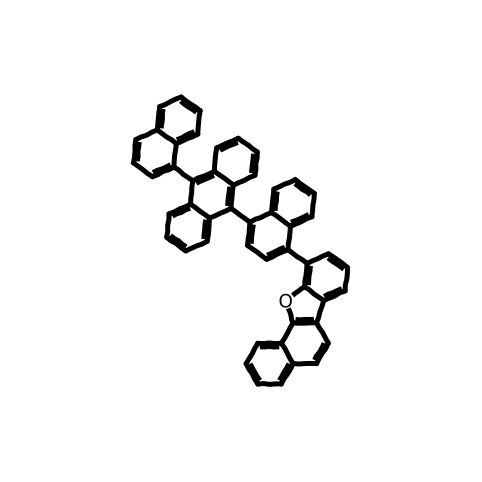 c1ccc2c(-c3c4ccccc4c(-c4ccc(-c5cccc6c5oc5c7ccccc7ccc65)c5ccccc45)c4ccccc34)cccc2c1